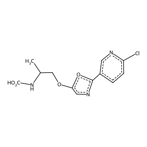 CC(COc1cnc(-c2ccc(Cl)nc2)o1)NC(=O)O